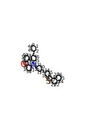 c1ccc(-c2ccc(N(c3ccc(-c4ccc5c(c4)sc4ccc6ccccc6c45)cc3)c3cccc4oc5ccccc5c34)cc2)cc1